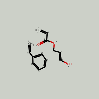 C=CC(=O)OCC=CO.C=Cc1ccccc1